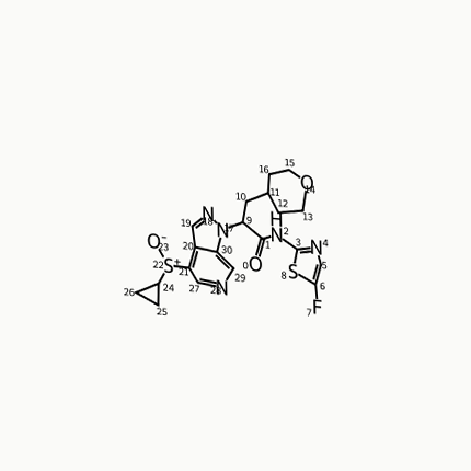 O=C(Nc1ncc(F)s1)C(CC1CCOCC1)n1ncc2c([S+]([O-])C3CC3)cncc21